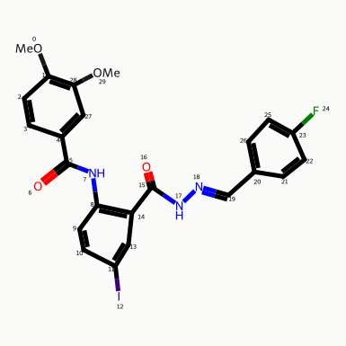 COc1ccc(C(=O)Nc2ccc(I)cc2C(=O)NN=Cc2ccc(F)cc2)cc1OC